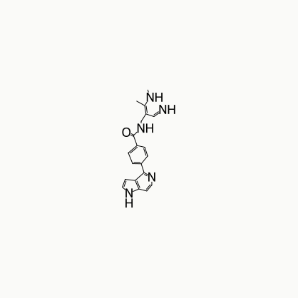 CN/C(C)=C(\C=N)CNC(=O)c1ccc(-c2nccc3[nH]ccc23)cc1